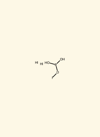 I.I.OB(O)OI